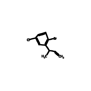 C=C[C](C)c1cc(Cl)ccc1Br